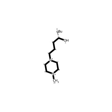 CCCC[C@H](O)CCCN1CCN(C)CC1